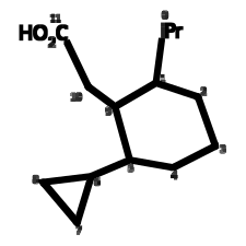 CC(C)C1CCCC(C2CC2)C1CC(=O)O